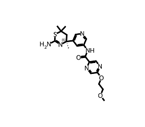 COCCOc1cnc(C(=O)Nc2cncc([C@]3(C)CC(C)(C)SC(N)=N3)c2)cn1